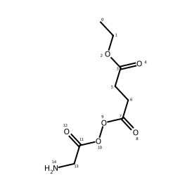 CCOC(=O)CCC(=O)OOC(=O)CN